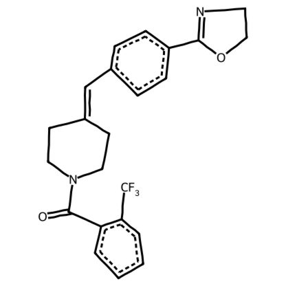 O=C(c1ccccc1C(F)(F)F)N1CCC(=Cc2ccc(C3=NCCO3)cc2)CC1